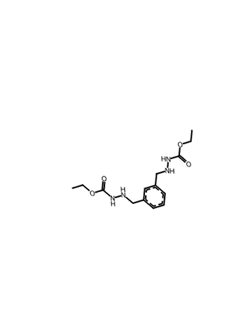 CCOC(=O)NNCc1cccc(CNNC(=O)OCC)c1